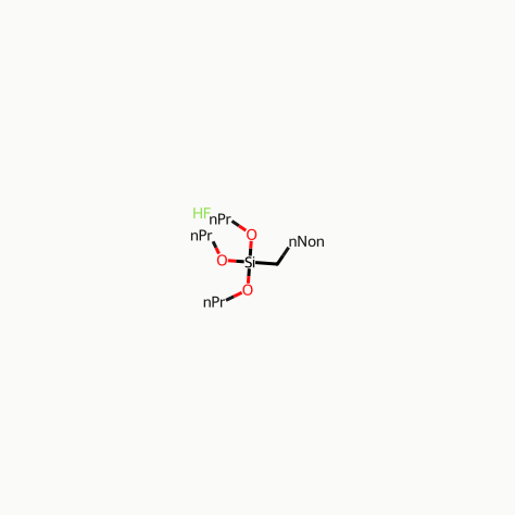 CCCCCCCCCC[Si](OCCC)(OCCC)OCCC.F